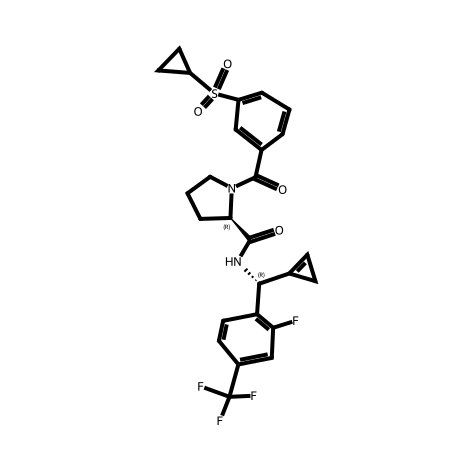 O=C(N[C@H](C1=CC1)c1ccc(C(F)(F)F)cc1F)[C@H]1CCCN1C(=O)c1cccc(S(=O)(=O)C2CC2)c1